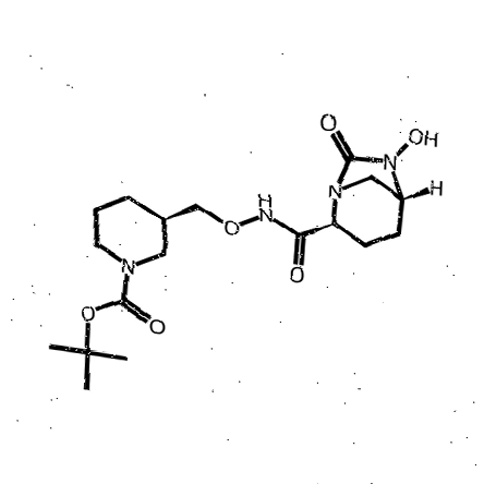 CC(C)(C)OC(=O)N1CCC[C@@H](CONC(=O)[C@@H]2CC[C@@H]3CN2C(=O)N3O)C1